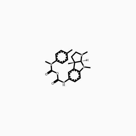 Cc1ccc(N(C)C(=O)OC(=O)Nc2ccc3c(c2)[C@]2(C)CCN(C)[C@H]2N3C)cc1